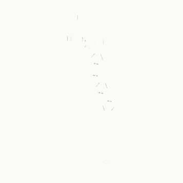 CCCCCCCCOc1ccc(-c2ccc(C(=O)Oc3ccc([C@H](C)C(=O)N(C)CCCC)cc3)cc2)cc1